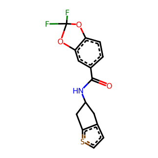 O=C(NC1Cc2ccsc2C1)c1ccc2c(c1)OC(F)(F)O2